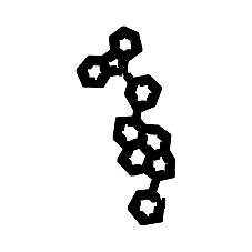 c1ccc(-c2ccc3ccc4c(-c5cccc(-n6c7ccccc7c7ccccc76)c5)ccc5ccc2c3c54)nc1